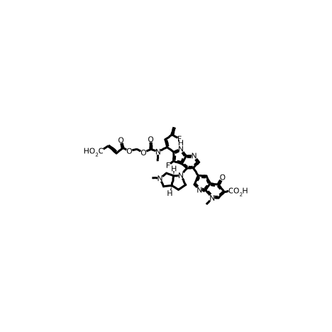 C=C(F)/C=C(\c1[nH]c2ncc(-c3cnc4c(c3)c(=O)c(C(=O)O)cn4C)c(N3CC[C@H]4CN(C)C[C@H]43)c2c1F)N(C)C(=O)OCOC(=O)/C=C/C(=O)O